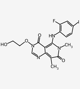 Cc1c(=O)n(C)c(Nc2ccc(I)cc2F)c2c(=O)n(OCCO)cnc12